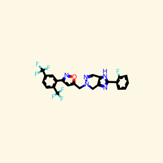 Fc1ccccc1-c1nc2c([nH]1)C=NN(Cc1cc(-c3cc(C(F)(F)F)ccc3C(F)(F)F)no1)C2